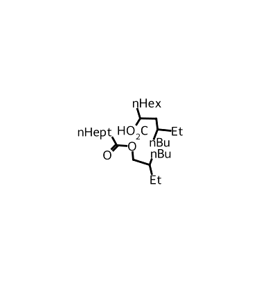 CCCCCCC(CC(CC)CCCC)C(=O)O.CCCCCCCC(=O)OCC(CC)CCCC